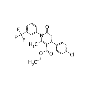 CCOC(=O)C1=C(C)N(c2cccc(C(F)(F)F)c2)C(=O)CC1c1ccc(Cl)cc1